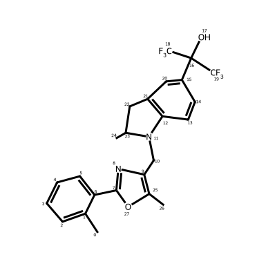 Cc1ccccc1-c1nc(CN2c3ccc(C(O)(C(F)(F)F)C(F)(F)F)cc3CC2C)c(C)o1